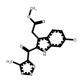 COC(=O)Cc1c(C(=O)c2snnc2C)[nH]c2cc(Cl)ccc12